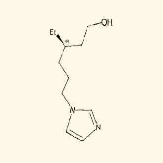 CC[C@@H](CCO)CCCn1ccnc1